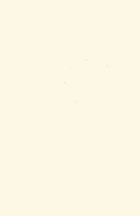 NS(=O)(=O)N1CCC[C@H]1C(=O)Nc1ccc(Oc2cc(F)cc(F)c2)cn1